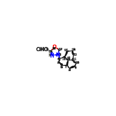 O=CC1=NN(C2C=Cc3cccc4cccc2c34)CO1